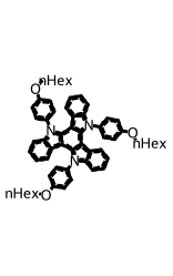 CCCCCCOc1ccc(-n2c3ccccc3c3c2c2c4ccccc4n(-c4ccc(OCCCCCC)cc4)c2c2c4ccccc4n(-c4ccc(OCCCCCC)cc4)c32)cc1